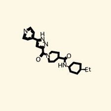 CC[C@H]1CC[C@H](NC(=O)C2CCN(C(=O)c3cc(-c4ccncc4)[nH]n3)CC2)CC1